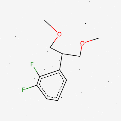 COCC(COC)c1cccc(F)c1F